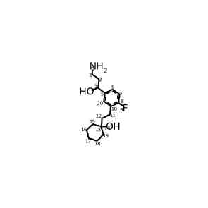 NCCC(O)c1ccc(F)c(CCC2(O)CCCCC2)c1